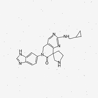 O=C1N(c2ccc3nc[nH]c3c2)Cc2cnc(NCC3CC3)nc2C12CCNC2